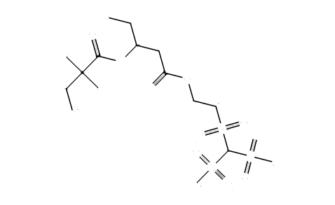 CCC(CC(=O)OCCS(=O)(=O)C(S(C)(=O)=O)S(C)(=O)=O)OC(=O)C(C)(C)CC